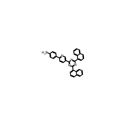 Bc1ccc(-c2ccc(-c3nc(-c4cccc5ccccc45)nc(-c4cccc5ccccc45)n3)cn2)cc1